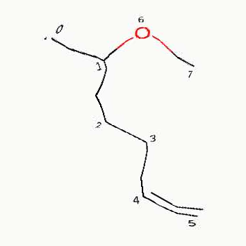 [CH2]C(CCC=C)OC